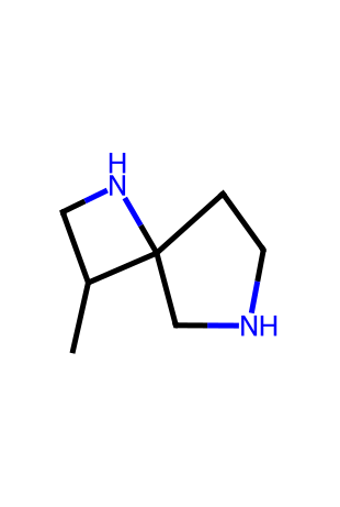 CC1CNC12CCNC2